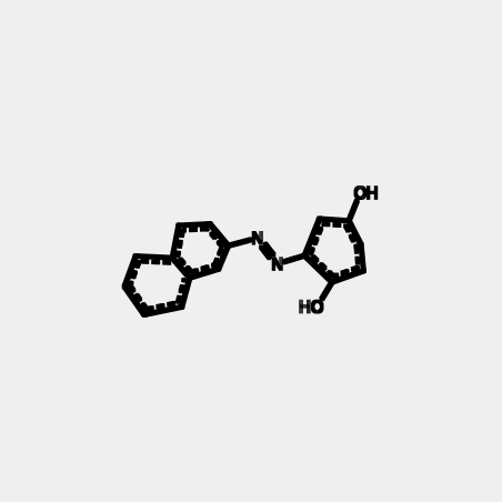 Oc1ccc(O)c(N=Nc2ccc3ccccc3c2)c1